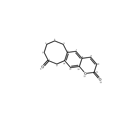 O=C1CCCCc2cc3ccc(=O)oc3cc2C1